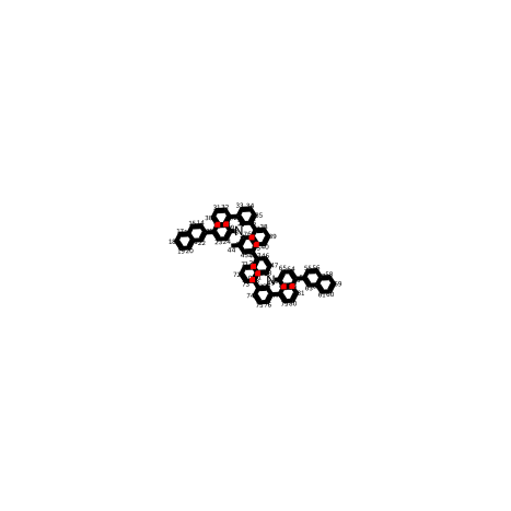 Cc1cc(-c2ccc(N(c3ccc(-c4ccc5ccccc5c4)cc3)c3c(-c4ccccc4)cccc3-c3ccccc3)c(C)c2)ccc1N(c1ccc(-c2ccc3ccccc3c2)cc1)c1c(-c2ccccc2)cccc1-c1ccccc1